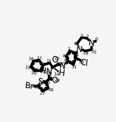 CN1CCCN(c2ccc(NC(=O)[C@@](C)(Cc3ccccc3)NC(=O)c3ccc(Br)s3)cc2Cl)CC1